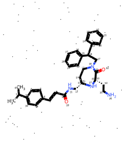 CC(C)c1ccc(C=CC(=O)NC[C@@H]2CCN(CC(c3ccccc3)c3ccccc3)C(=O)[C@H](CCN)N2)cc1